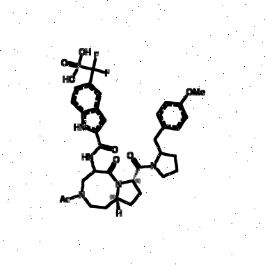 COc1ccc(CC2CCCN2C(=O)[C@@H]2CC[C@@H]3CCN(C(C)=O)CC(NC(=O)c4cc5cc(C(F)(F)P(=O)(O)O)ccc5[nH]4)C(=O)N32)cc1